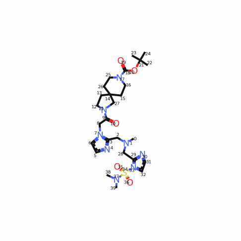 CN(Cc1nccn1CC(=O)N1CCC2(CCN(C(=O)OC(C)(C)C)CC2)C1)Cc1nccn1S(=O)(=O)N(C)C